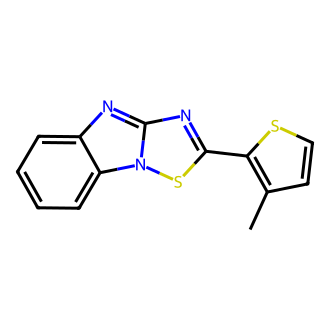 Cc1ccsc1-c1nc2nc3ccccc3n2s1